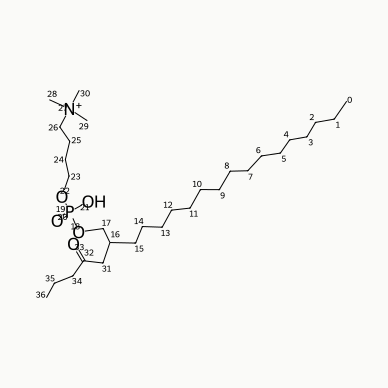 CCCCCCCCCCCCCCCCC(COP(=O)(O)OCCCC[N+](C)(C)C)CC(=O)CCC